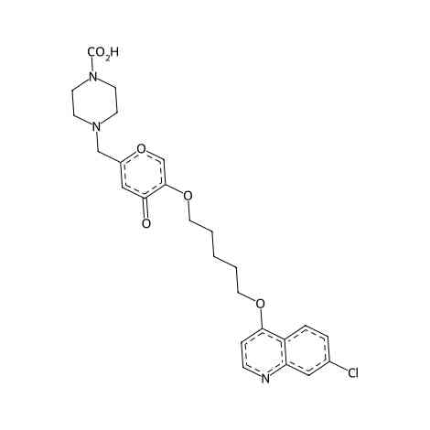 O=C(O)N1CCN(Cc2cc(=O)c(OCCCCCOc3ccnc4cc(Cl)ccc34)co2)CC1